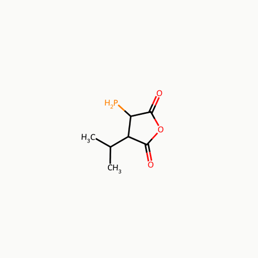 CC(C)C1C(=O)OC(=O)C1P